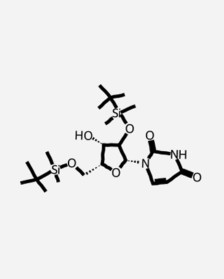 CC(C)(C)[Si](C)(C)OC[C@H]1O[C@@H](n2ccc(=O)[nH]c2=O)C(O[Si](C)(C)C(C)(C)C)[C@H]1O